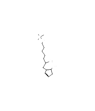 C[Si](C)(C)OCCCCCC(O)CC1C=CCC1O